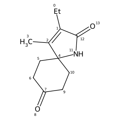 CCC1=C(C)C2(CCC(=O)CC2)NC1=O